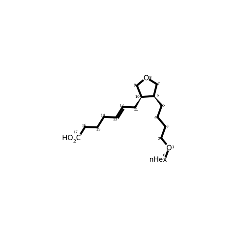 CCCCCCOCCCC[C@@H]1COC[C@@H]1CC=CCCCC(=O)O